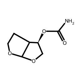 NC(=O)O[C@H]1COC2OCCC21